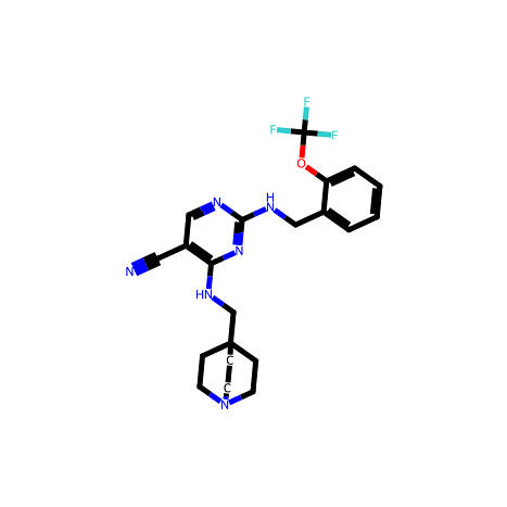 N#Cc1cnc(NCc2ccccc2OC(F)(F)F)nc1NCC12CCN(CC1)CC2